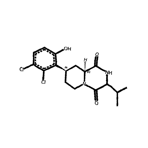 CC(C)C1NC(=O)[C@@H]2C[C@H](c3c(O)ccc(Cl)c3Cl)CCN2C1=O